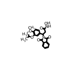 COc1ccc(C(CC(=O)NO)N2C(=O)c3ccccc3C2=O)cc1OC(C)C